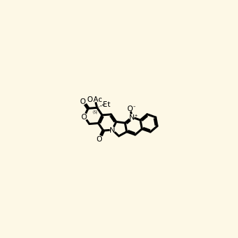 CC[C@@]1(OC(C)=O)C(=O)OCc2c1cc1n(c2=O)Cc2cc3ccccc3[n+]([O-])c2-1